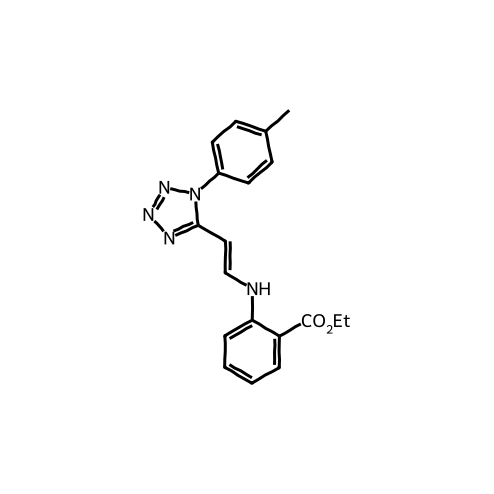 CCOC(=O)c1ccccc1NC=Cc1nnnn1-c1ccc(C)cc1